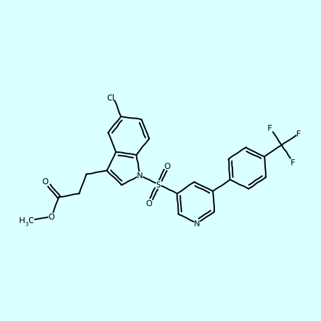 COC(=O)CCc1cn(S(=O)(=O)c2cncc(-c3ccc(C(F)(F)F)cc3)c2)c2ccc(Cl)cc12